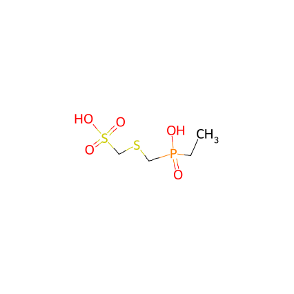 CCP(=O)(O)CSCS(=O)(=O)O